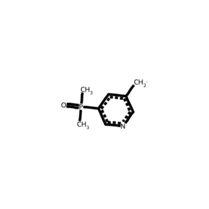 [CH2]c1cncc(P(C)(C)=O)c1